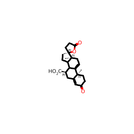 C[C@]12CCC(=O)C=C1C[C@@H](C(=O)O)C1C2=CC[C@@]2(C)C1CC[C@@]21CCC(=O)O1